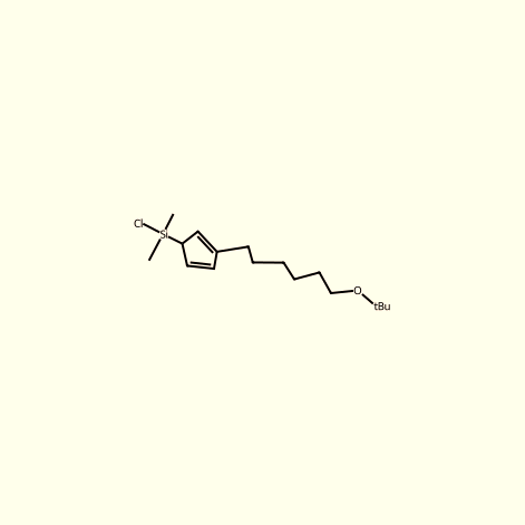 CC(C)(C)OCCCCCCC1=CC([Si](C)(C)Cl)C=C1